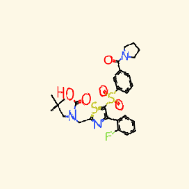 CC(C)(C)CN(Cc1nc(-c2ccccc2F)c(S(=O)(=O)c2cccc(C(=O)N3CCCC3)c2)s1)C(=O)O